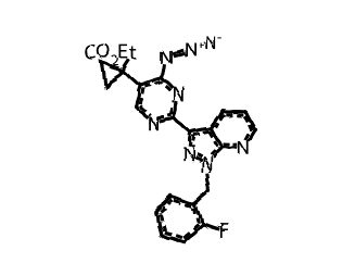 CCOC(=O)C1(c2cnc(-c3nn(Cc4ccccc4F)c4ncccc34)nc2N=[N+]=[N-])CC1